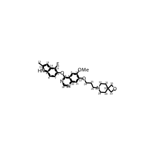 COc1cc2c(Oc3ccc4[nH]c(C)cc4c3F)ncnc2cc1OCCCN1CCC2(CC1)COC2